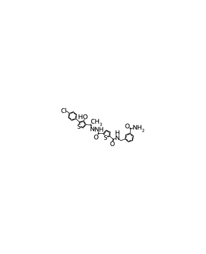 C/C(=N\NC(=O)c1ccc(C(=O)NCc2cccc(C(N)=O)c2)s1)c1csc(-c2ccc(Cl)cc2)c1O